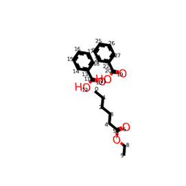 CCCCCC(=O)OCC.O=C(O)c1ccccc1.O=C(O)c1ccccc1